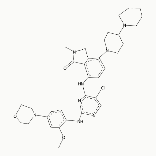 COc1cc(N2CCOCC2)ccc1Nc1ncc(Cl)c(Nc2ccc(N3CCC(N4CCCCC4)CC3)c3c2C(=O)N(C)C3)n1